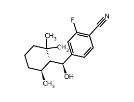 C[C@H]1CCCC(C)(C)[C@@H]1[C@H](O)c1ccc(C#N)c(F)c1